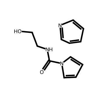 O=C(NCCO)n1cccc1.c1ccncc1